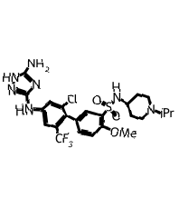 COc1ccc(-c2c(Cl)cc(Nc3n[nH]c(N)n3)cc2C(F)(F)F)cc1S(=O)(=O)NC1CCN(C(C)C)CC1